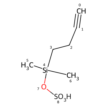 C#CCC[Si](C)(C)OS(=O)(=O)O